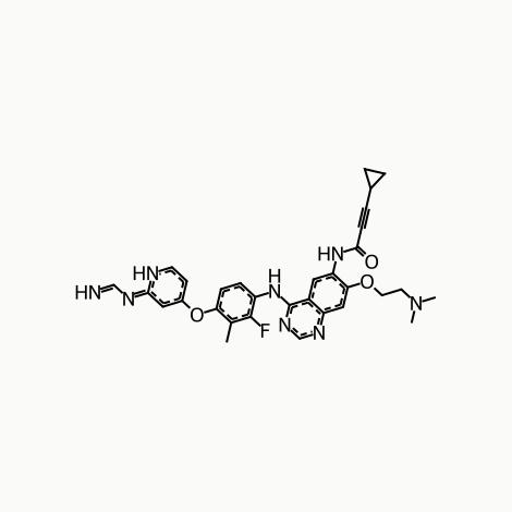 Cc1c(Oc2cc[nH]/c(=N\C=N)c2)ccc(Nc2ncnc3cc(OCCN(C)C)c(NC(=O)C#CC4CC4)cc23)c1F